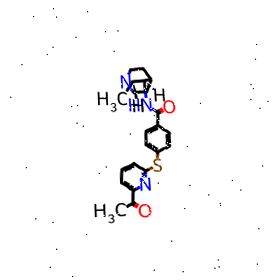 CC(=O)c1cccc(Sc2ccc(C(=O)N[C@@H]3C4CCN(CC4)[C@H]3C)cc2)n1